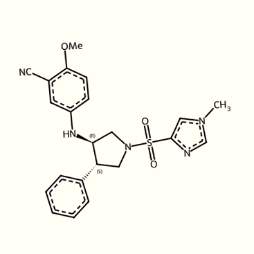 COc1ccc(N[C@H]2CN(S(=O)(=O)c3cn(C)cn3)C[C@@H]2c2ccccc2)cc1C#N